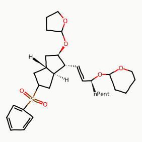 CCCCC[C@@H](C=C[C@@H]1[C@H]2CC(S(=O)(=O)c3ccccc3)C[C@@H]2C[C@H]1OC1CCCO1)OC1CCCCO1